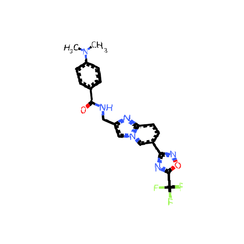 CN(C)c1ccc(C(=O)NCc2cn3cc(-c4noc(C(F)(F)F)n4)ccc3n2)cc1